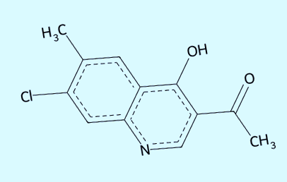 CC(=O)c1cnc2cc(Cl)c(C)cc2c1O